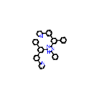 c1ccc(-c2cc(-c3cccc(-c4ccccn4)c3)cc(-c3nc(-c4ccccc4)nc(-c4cc(-c5ccccc5)cc(-c5cccc(-c6ccccn6)c5)c4)n3)c2)cc1